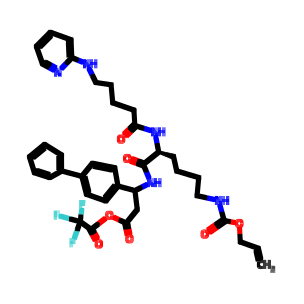 C=CCOC(=O)NCCCC[C@H](NC(=O)CCCCNc1ccccn1)C(=O)NC(CC(=O)OC(=O)C(F)(F)F)c1ccc(-c2ccccc2)cc1